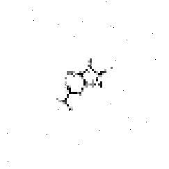 CC(C)C(=O)CC1NC(=O)NC1=O